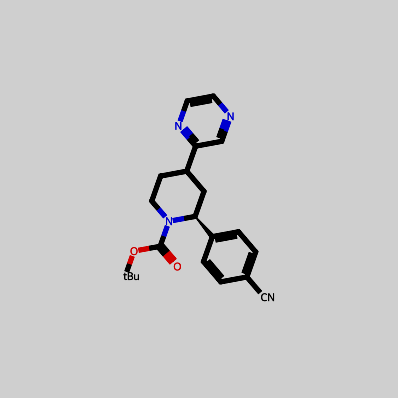 CC(C)(C)OC(=O)N1CCC(c2cnccn2)C[C@H]1c1ccc(C#N)cc1